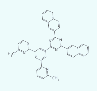 Cc1cccc(-c2cc(-c3cccc(C)n3)cc(-c3nc(-c4ccc5ccccc5c4)nc(-c4ccc5ccccc5c4)n3)c2)n1